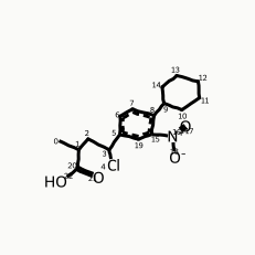 CC(CC(Cl)c1ccc(C2CCCCC2)c([N+](=O)[O-])c1)C(=O)O